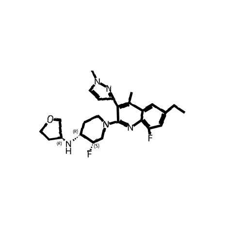 CCc1cc(F)c2nc(N3CC[C@@H](N[C@@H]4CCOC4)[C@@H](F)C3)c(-c3ccn(C)n3)c(C)c2c1